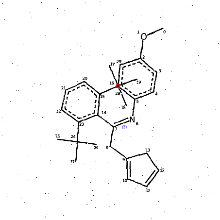 COc1ccc(/N=C(/CC2=CC=CC2)c2c(C(C)(C)C)cccc2C(C)(C)C)cc1